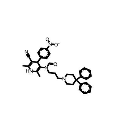 CC1=C(C#N)C(c2ccc([N+](=O)[O-])cc2)C(N(C=O)CCCN2CCC(c3ccccc3)(c3ccccc3)CC2)=C(C)N1